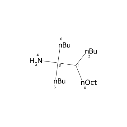 CCCCCCCCC(CCCC)C(N)(CCCC)CCCC